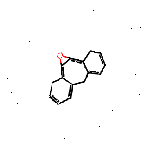 C1=CCC2=C3OC3=C3CC=CC=C3CC2=C1